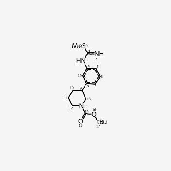 CSC(=N)Nc1cccc(C2CCCN(C(=O)OC(C)(C)C)C2)c1